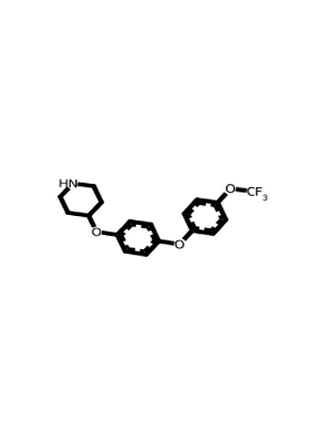 FC(F)(F)Oc1ccc(Oc2ccc(OC3CCNCC3)cc2)cc1